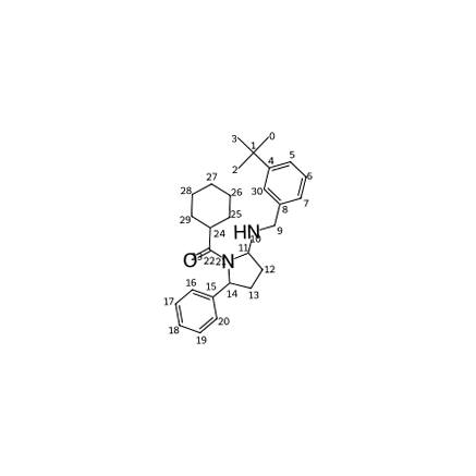 CC(C)(C)c1cccc(CNC2CCC(c3ccccc3)N2C(=O)C2CCCCC2)c1